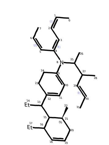 C\C=C/C=C(\C=C/C)N(C1=CC=C(C(CC)C2C(CC)C=CC[C@@H]2C)CC1)C(C)C(C)/C=C/C